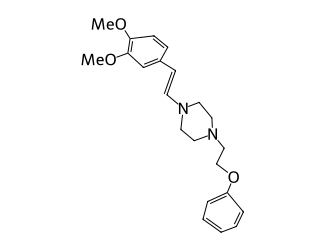 COc1ccc(C=CN2CCN(CCOc3ccccc3)CC2)cc1OC